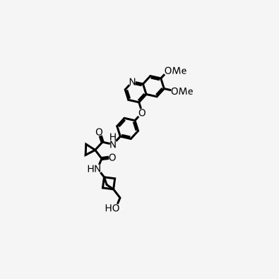 COc1cc2nccc(Oc3ccc(NC(=O)C4(C(=O)NC56CC(CO)(C5)C6)CC4)cc3)c2cc1OC